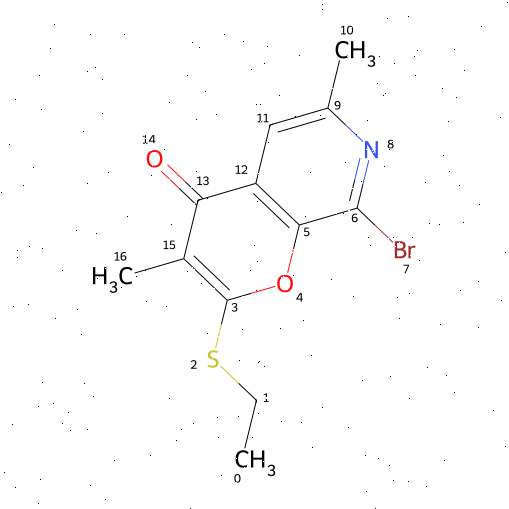 CCSc1oc2c(Br)nc(C)cc2c(=O)c1C